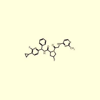 Cc1nccc(NCC(=O)N2CC(F)CC2C(=O)NC(c2ccccc2)c2ccc(C3CC3)c(F)n2)n1